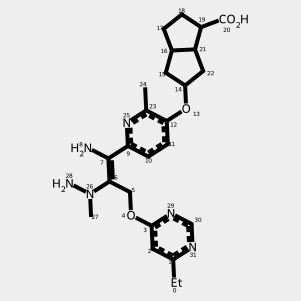 CCc1cc(OC/C(=C(/N)c2ccc(OC3CC4CCC(C(=O)O)C4C3)c(C)n2)N(C)N)ncn1